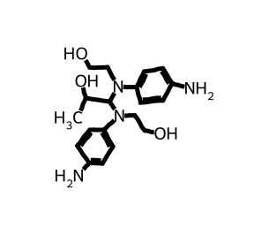 CC(O)C(N(CCO)c1ccc(N)cc1)N(CCO)c1ccc(N)cc1